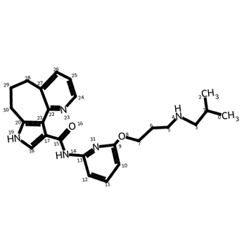 CC(C)CNCCCOc1cccc(NC(=O)c2c[nH]c3c2-c2ncccc2CCC3)n1